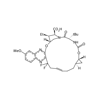 CC[C@@H]1[C@@H]2CN(C(=O)[C@H](C(C)(C)C)NC(=O)O[C@@H]3C[C@H]3CC/C=C/CC(F)(F)c3nc4ccc(OC)cc4nc3O2)[C@@H]1C(=O)O